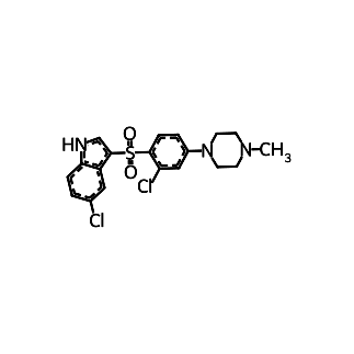 CN1CCN(c2ccc(S(=O)(=O)c3c[nH]c4ccc(Cl)cc34)c(Cl)c2)CC1